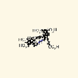 C=C(/C=C/C=C/C=C/C=C1/N(CCCCCC(=O)O)c2ccc3c(S(=O)(=O)O)cc(S(=O)(=O)O)cc3c2C1(C)CCOCCOC)C(C)(C)c1c(C)ccc2c(S(=O)(=O)O)cc(S(=O)(=O)O)cc12